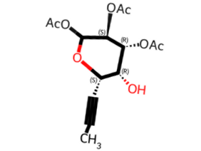 CC#C[C@@H]1OC(OC(C)=O)[C@@H](OC(C)=O)[C@H](OC(C)=O)[C@@H]1O